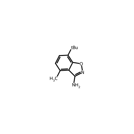 Cc1ccc(C(C)(C)C)c2onc(N)c12